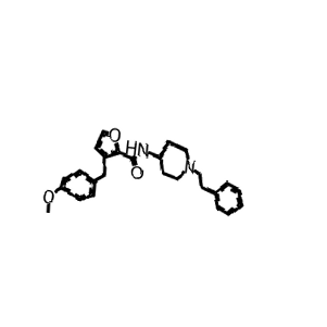 COc1ccc(Cc2ccoc2C(=O)NC2CCN(CCc3ccccc3)CC2)cc1